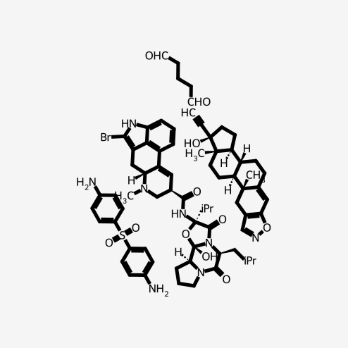 C#C[C@]1(O)CC[C@H]2[C@@H]3CCC4=Cc5oncc5C[C@]4(C)[C@H]3CC[C@@]21C.CC(C)C[C@H]1C(=O)N2CCC[C@H]2[C@]2(O)O[C@](NC(=O)[C@@H]3C=C4c5cccc6[nH]c(Br)c(c56)C[C@H]4N(C)C3)(C(C)C)C(=O)N12.Nc1ccc(S(=O)(=O)c2ccc(N)cc2)cc1.O=CCCCC=O